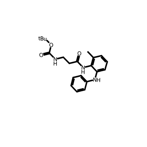 Cc1cccc(Nc2ccccc2)c1NC(=O)CCNC(=O)OC(C)(C)C